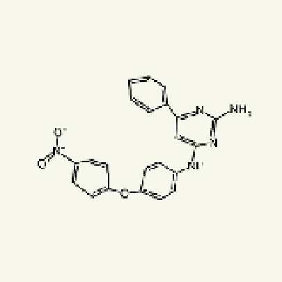 Nc1nc(Nc2ccc(Oc3ccc([N+](=O)[O-])cc3)cc2)cc(-c2ccccc2)n1